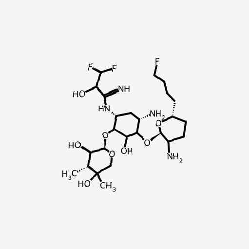 C[C@@H]1C(O)[C@@H](OC2C(O)C(O[C@H]3O[C@H](CCCCF)CCC3N)[C@@H](N)C[C@H]2NC(=N)C(O)C(F)F)OCC1(C)O